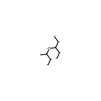 [CH2]CC(CC)OC(C)CC